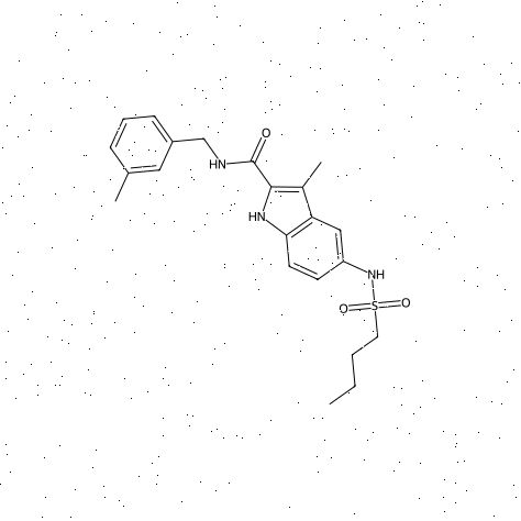 CCCCS(=O)(=O)Nc1ccc2[nH]c(C(=O)NCc3cccc(C)c3)c(C)c2c1